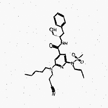 CCCCCN(CCC#N)c1cc(C(=O)N[C@H](CO)Cc2ccccc2)cc(N(CCC)S(C)(=O)=O)n1